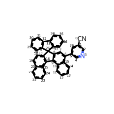 N#Cc1cncc(-c2cc3c(c4ccccc24)-c2c(ccc4ccccc24)C32c3ccccc3-c3ccccc32)c1